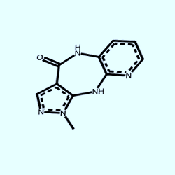 Cn1ncc2c1Nc1ncccc1NC2=O